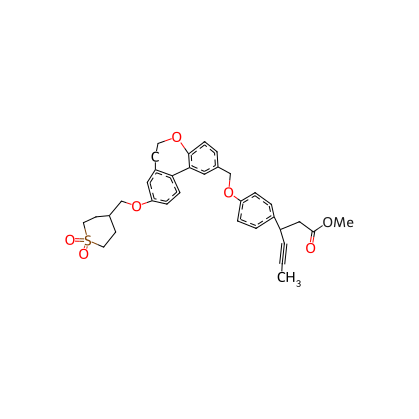 CC#CC(CC(=O)OC)c1ccc(OCc2ccc3c(c2)-c2ccc(OCC4CCS(=O)(=O)CC4)cc2CCO3)cc1